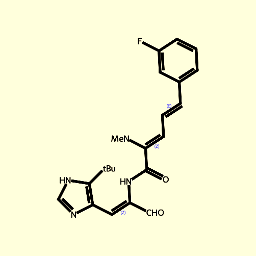 CN/C(=C\C=C\c1cccc(F)c1)C(=O)N/C(C=O)=C\c1nc[nH]c1C(C)(C)C